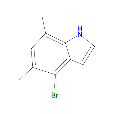 Cc1cc(C)c2[nH]ccc2c1Br